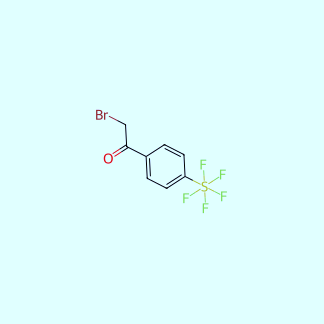 O=C(CBr)c1ccc(S(F)(F)(F)(F)F)cc1